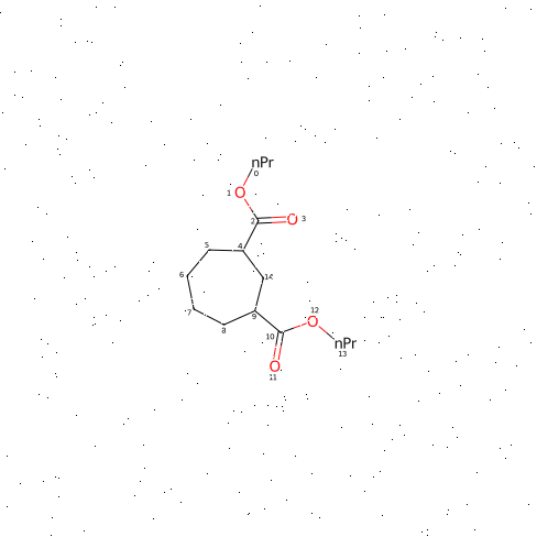 CCCOC(=O)C1CCCCC(C(=O)OCCC)C1